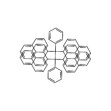 C1=CC(C(c2ccccc2)(C2C=Cc3cccc4cccc2c34)C(c2ccccc2)(C2C=Cc3cccc4cccc2c34)C2C=Cc3cccc4cccc2c34)c2cccc3cccc1c23